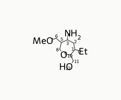 CCC1CC(N)C(COC)COC1CO